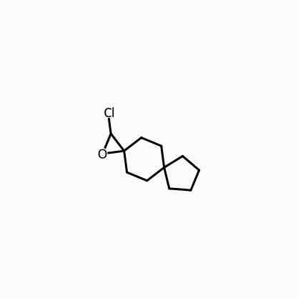 ClC1OC12CCC1(CCCC1)CC2